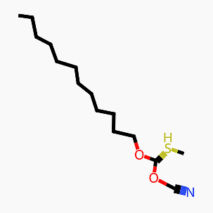 CCCCCCCCCCCCOC(OC#N)=[SH]C